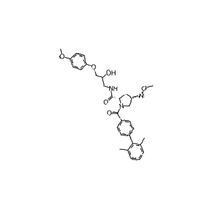 CO/N=C1\C[C@@H](C(=O)NCC(O)COc2ccc(OC)cc2)N(C(=O)c2ccc(-c3c(C)cccc3C)cc2)C1